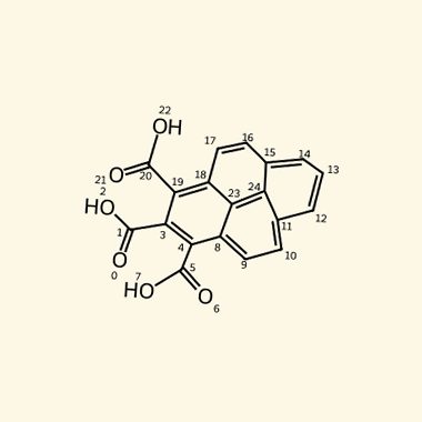 O=C(O)c1c(C(=O)O)c2ccc3cccc4ccc(c1C(=O)O)c2c34